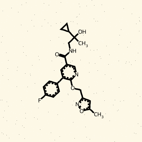 Cc1cc(COc2ncc(C(=O)NCC(C)(O)C3CC3)cc2-c2ccc(F)cc2)no1